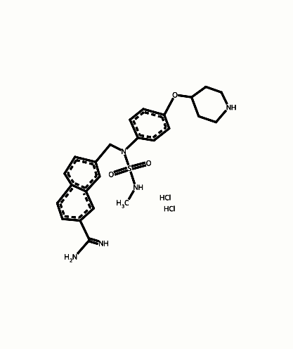 CNS(=O)(=O)N(Cc1ccc2ccc(C(=N)N)cc2c1)c1ccc(OC2CCNCC2)cc1.Cl.Cl